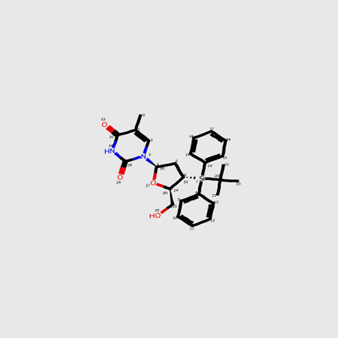 Cc1cn([C@H]2C[C@H]([Si](c3ccccc3)(c3ccccc3)C(C)(C)C)[C@@H](CO)O2)c(=O)[nH]c1=O